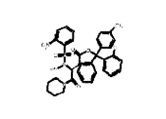 CCCN([C@@H](CC(=O)OC(c1ccccc1)(c1ccc(C)cc1)c1ccccc1Cl)C(=O)N1CCCCC1)S(=O)(=O)c1ccccc1[N+](=O)[O-]